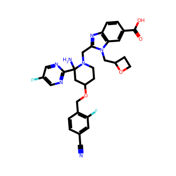 N#Cc1ccc(COC2CCN(Cc3nc4ccc(C(=O)O)cc4n3CC3CCO3)C(N)(c3ncc(F)cn3)C2)c(F)c1